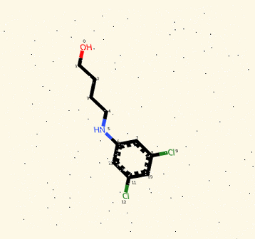 OCCCCNc1cc(Cl)cc(Cl)c1